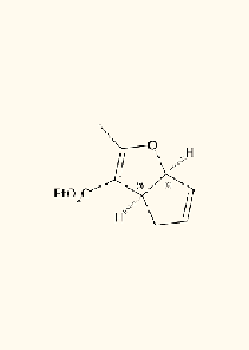 CCOC(=O)C1=C(C)O[C@H]2C=CC[C@@H]12